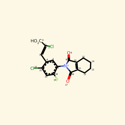 O=C(O)C(Cl)=Cc1cc(N2C(=O)C3=C(CCCC3)C2=O)c(F)cc1Cl